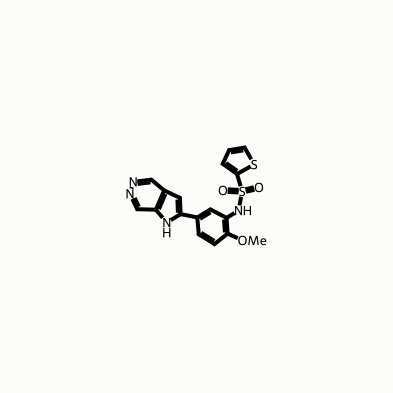 COc1ccc(-c2cc3cnncc3[nH]2)cc1NS(=O)(=O)c1cccs1